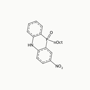 CCCCCCCCP1(=O)c2ccccc2Nc2ccc([N+](=O)[O-])cc21